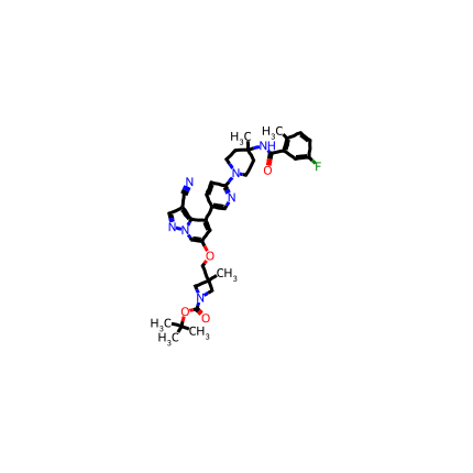 Cc1ccc(F)cc1C(=O)NC1(C)CCN(c2ccc(-c3cc(OCC4(C)CN(C(=O)OC(C)(C)C)C4)cn4ncc(C#N)c34)cn2)CC1